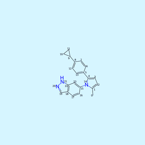 Cc1[c]cc(-c2ccc(C3CC3)cc2)n1-c1ccc2cn[nH]c2c1